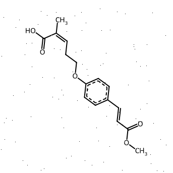 COC(=O)C=Cc1ccc(OCCC=C(C)C(=O)O)cc1